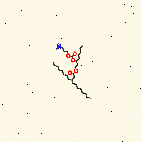 CCCCCCCCC(CCCCCCCC)CC(=O)OCCC(CCCCC)OC(=O)OCCCN(C)C